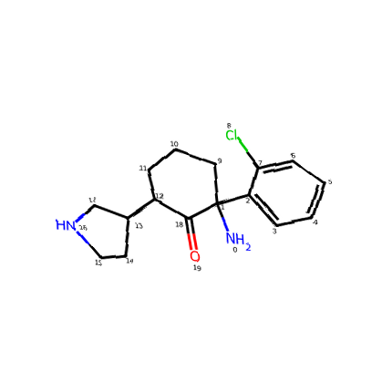 NC1(c2ccccc2Cl)CCCC(C2CCNC2)C1=O